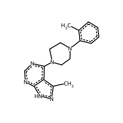 Cc1ccccc1N1CCN(c2ncnc3[nH]nc(C)c23)CC1